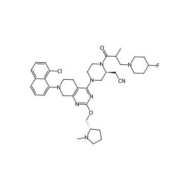 CC(CN1CCC(F)CC1)C(=O)N1CCN(c2nc(OC[C@@H]3CCCN3C)nc3c2CCN(c2cccc4cccc(Cl)c24)C3)C[C@@H]1CC#N